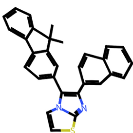 CC1(C)c2ccccc2-c2ccc(-c3c(-c4ccc5ccccc5c4)nc4sccn34)cc21